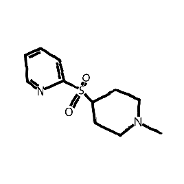 CN1CCC(S(=O)(=O)c2ccccn2)CC1